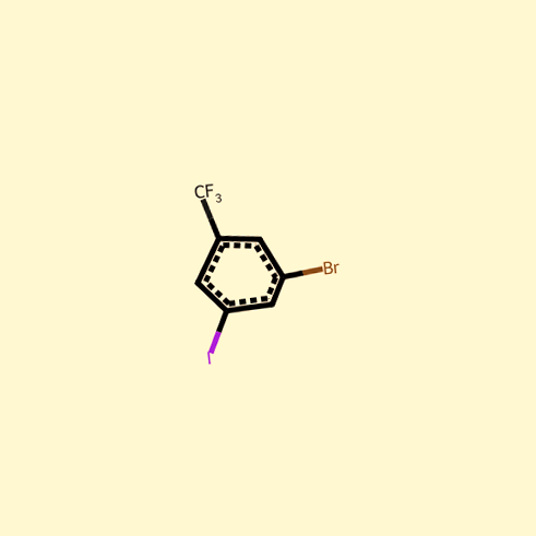 FC(F)(F)c1cc(Br)cc(I)c1